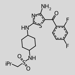 CC(C)CS(=O)(=O)NC1CCC(Nc2nc(N)c(C(=O)c3ccc(F)cc3F)s2)CC1